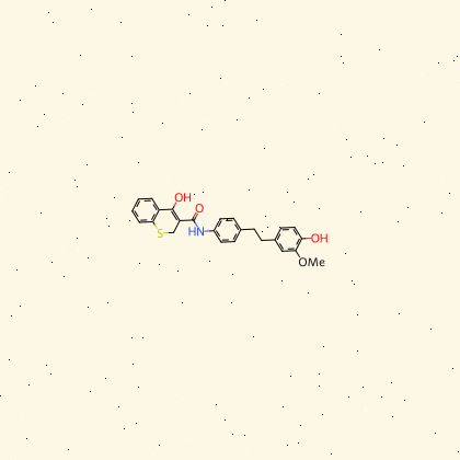 COc1cc(CCc2ccc(NC(=O)C3=C(O)c4ccccc4SC3)cc2)ccc1O